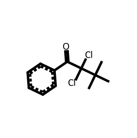 CC(C)(C)C(Cl)(Cl)C(=O)c1ccccc1